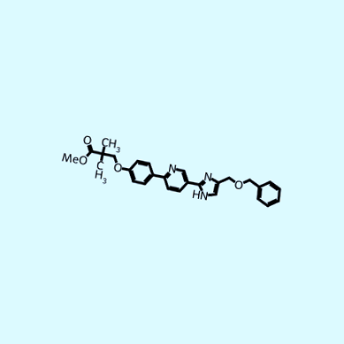 COC(=O)C(C)(C)COc1ccc(-c2ccc(-c3nc(COCc4ccccc4)c[nH]3)cn2)cc1